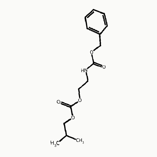 CC(C)COC(=O)OCCNC(=O)OCc1ccccc1